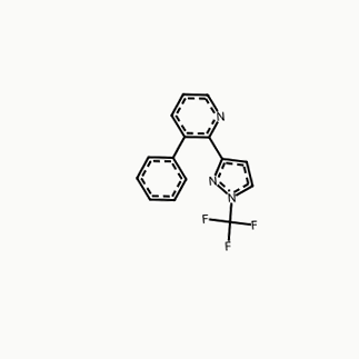 FC(F)(F)n1ccc(-c2ncccc2-c2ccccc2)n1